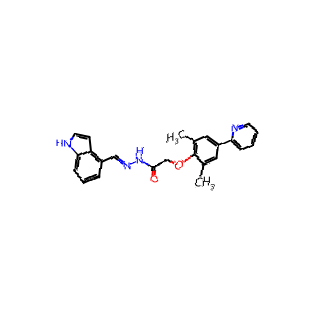 Cc1cc(-c2ccccn2)cc(C)c1OCC(=O)NN=Cc1cccc2[nH]ccc12